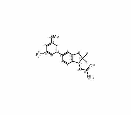 CSc1cc(-c2ccc3c(c2)CC(C)(C)C3OC(N)=O)cc(C(F)(F)F)c1